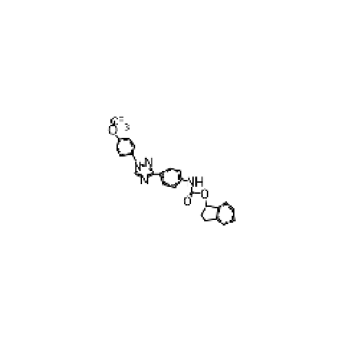 O=C(Nc1ccc(-c2ncn(-c3ccc(OC(F)(F)F)cc3)n2)cc1)OC1CCc2ccccc21